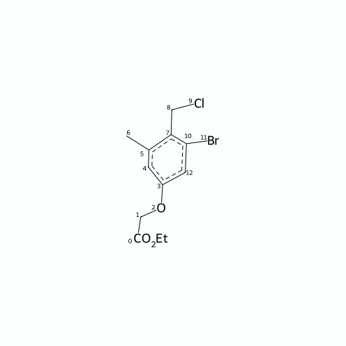 CCOC(=O)COc1cc(C)c(CCl)c(Br)c1